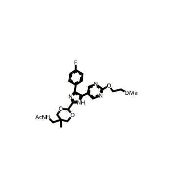 COCCOc1ncc(-c2[nH]c(C3OCC(C)(CNC(C)=O)CO3)nc2-c2ccc(F)cc2)cn1